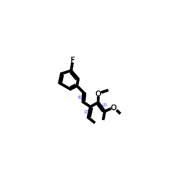 C/C=C(/C=C/c1cccc(F)c1)C(\OC)=C(/C)OC